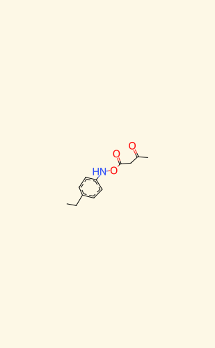 CCc1ccc(NOC(=O)CC(C)=O)cc1